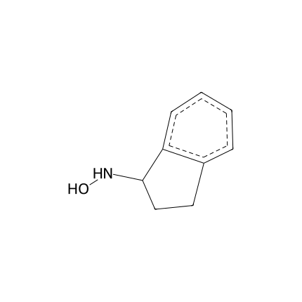 ONC1CCc2ccccc21